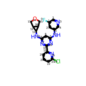 Fc1cncc(Nc2cc(NC3C4COCC43)nc(-c3cccc(Cl)n3)n2)c1